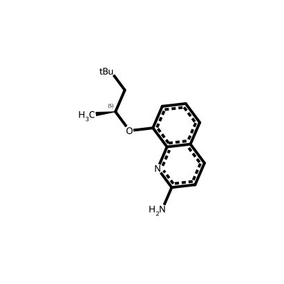 C[C@@H](CC(C)(C)C)Oc1cccc2ccc(N)nc12